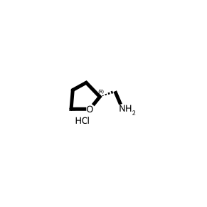 Cl.NC[C@H]1CCCO1